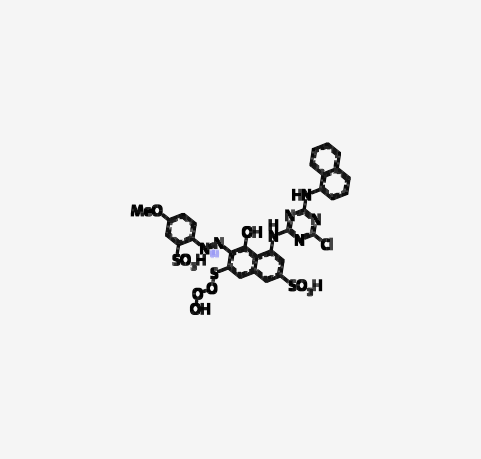 COc1ccc(/N=N/c2c(SOOO)cc3cc(S(=O)(=O)O)cc(Nc4nc(Cl)nc(Nc5cccc6ccccc56)n4)c3c2O)c(S(=O)(=O)O)c1